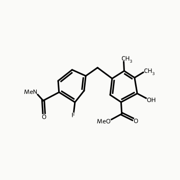 CNC(=O)c1ccc(Cc2cc(C(=O)OC)c(O)c(C)c2C)cc1F